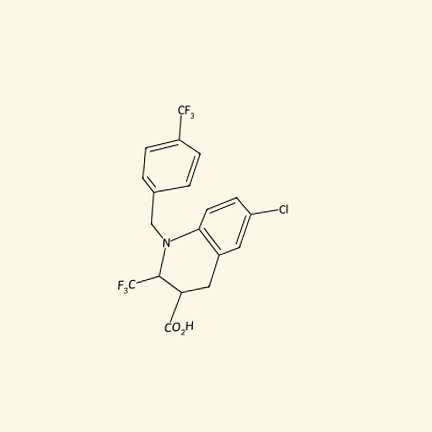 O=C(O)C1Cc2cc(Cl)ccc2N(Cc2ccc(C(F)(F)F)cc2)C1C(F)(F)F